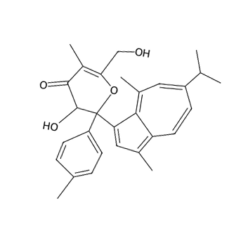 CC1=C(CO)OC(c2ccc(C)cc2)(c2cc(C)c3ccc(C(C)C)cc(C)c2-3)C(O)C1=O